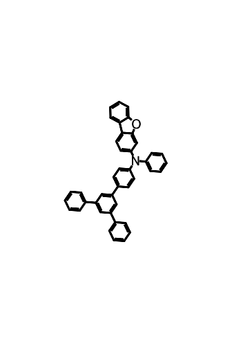 c1ccc(-c2cc(-c3ccccc3)cc(-c3ccc(N(c4ccccc4)c4ccc5c(c4)oc4ccccc45)cc3)c2)cc1